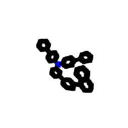 c1ccc(-c2ccc(N(c3ccc(-c4ccccc4)cc3)c3cccc(-c4cccc(-c5cccc6ccccc56)c4)c3)cc2)cc1